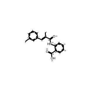 C/C(=C\c1cccc(C)c1)C(=O)Nc1ccccc1C(=O)O